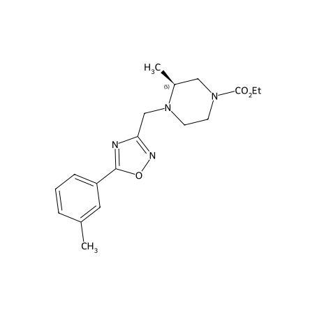 CCOC(=O)N1CCN(Cc2noc(-c3cccc(C)c3)n2)[C@@H](C)C1